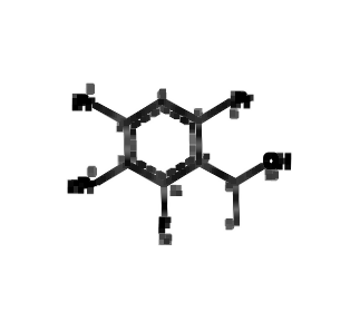 [CH2]CCc1c(C(C)C)cc(C(C)C)c(C(C)O)c1F